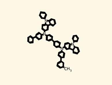 CC1C=CC=C(c2ccc(N(c3ccc(-c4ccc(N(c5ccc(-c6ccccc6)cc5)c5ccc6c(c5)c5ccccc5n6-c5ccccc5)cc4)cc3)c3ccc4c(c3)C3C=CC=CC3N4c3ccccc3)cc2)C1